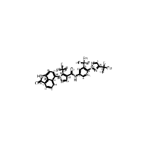 O=C(Nc1cnc(-n2ncc(C(F)(F)F)n2)c(C(F)(F)F)c1)c1cnn(-c2ccc3c4c(cccc24)C(=O)N3)c1C(F)(F)F